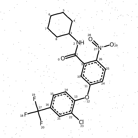 O=C(NC1CCCCC1)c1cc(Oc2ccc(C(F)(F)F)cc2Cl)ccc1[N+](=O)[O-]